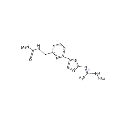 CCCCN/C(N)=N/c1nc(-c2cccc(CNC(=O)NC)n2)co1